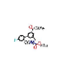 COC(=O)c1cc(CNC(=O)OC(C)(C)C)cc(-c2ccc(F)cc2OC)c1